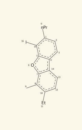 CCCc1ccc2c(oc3c(C)c(CC)ccc32)c1I